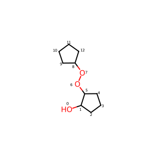 OC1CCCC1OOC1CCCC1